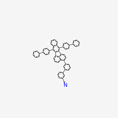 N#Cc1cccc(-c2cccc(-c3ccc4c5c(cccc35)-c3c-4c(-c4ccc(-c5ccccc5)cc4)c4ccccc4c3-c3ccc(-c4ccccc4)cc3)c2)c1